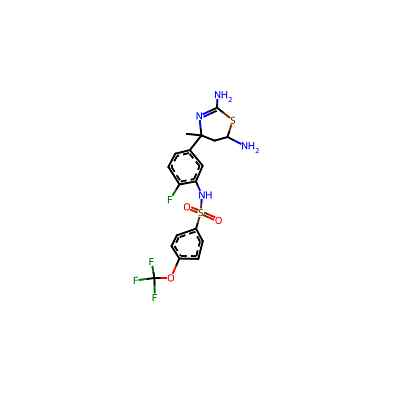 CC1(c2ccc(F)c(NS(=O)(=O)c3ccc(OC(F)(F)F)cc3)c2)CC(N)SC(N)=N1